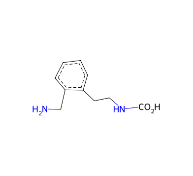 NCc1ccccc1CCNC(=O)O